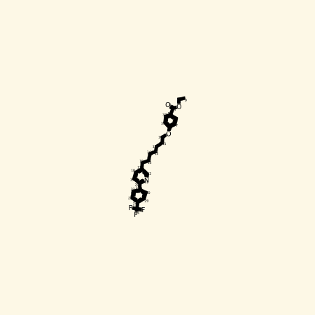 CCOC(=O)c1ccc(OCCCCCCCc2ccc(-c3ccc(C(F)(F)F)cc3)nc2)cc1